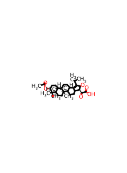 CC(=O)O[C@H]1CC[C@]2(C)[C@H]3CC[C@@H]4C5=C(C(C)C)C(=O)[C@@H](C(=O)C(=O)O)C5CC[C@@]4(C)[C@]3(C)CC[C@H]2C1(C)C